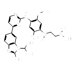 COc1cc(N(C)CCN(C)C)c(N)cc1Nc1nccc(-c2ccc3nc(C)n(C(C)C)c3c2)n1